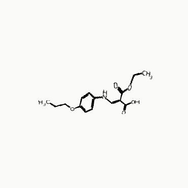 CCCOc1ccc(NC=C(C(=O)O)C(=O)OCC)cc1